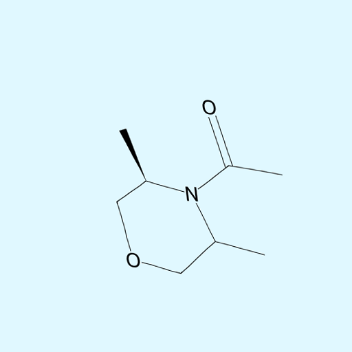 CC(=O)N1C(C)COC[C@H]1C